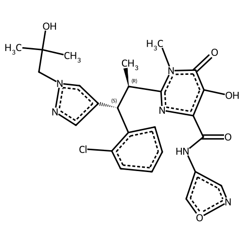 C[C@@H](c1nc(C(=O)Nc2cnoc2)c(O)c(=O)n1C)[C@@H](c1cnn(CC(C)(C)O)c1)c1ccccc1Cl